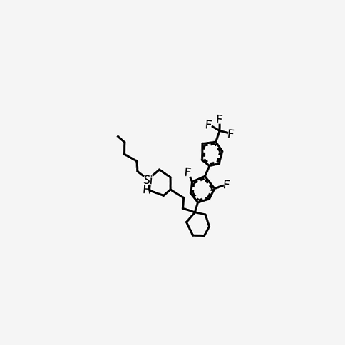 CCCCC[SiH]1CCC(CCC2(c3cc(F)c(-c4ccc(C(F)(F)F)cc4)c(F)c3)CCCCC2)CC1